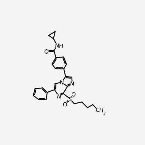 CCCCCS(=O)(=O)c1nc(-c2ccccc2)cn2c(-c3ccc(C(=O)NC4CC4)cc3)cnc12